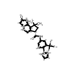 CC1(C)C[C@H](C(=O)Nc2cnc(-n3nccn3)c(C(F)(F)F)c2)c2cnn3cc(Cl)nc3c21